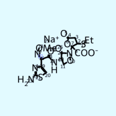 CCSC1CC(=O)OC1(C(=O)[O-])N1OC[C@H](NC(=O)/C(=N\OC)c2csc(N)n2)C1=O.[Na+]